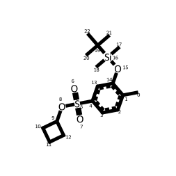 Cc1ccc(S(=O)(=O)OC2CCC2)cc1O[Si](C)(C)C(C)(C)C